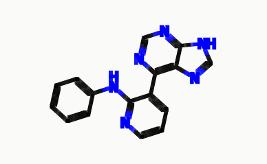 c1ccc(Nc2ncccc2-c2ncnc3[nH]cnc23)cc1